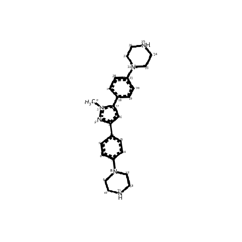 Cn1nc(-c2ccc(N3CCNCC3)cc2)cc1-c1ccc(N2CCNCC2)cc1